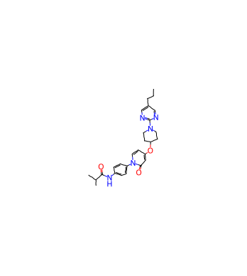 CCCc1cnc(N2CCC(Oc3ccn(-c4ccc(NC(=O)C(C)C)cc4)c(=O)c3)CC2)nc1